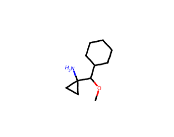 COC(C1CCCCC1)C1(N)CC1